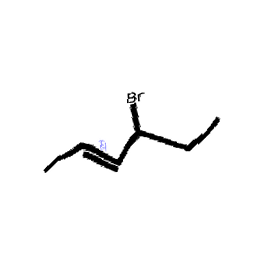 C/C=C/C(Br)CC